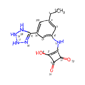 CCc1cc(Nc2c(O)c(=O)c2=O)cc(C2=NNNN2)c1